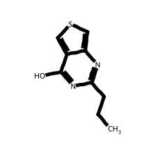 CCCc1nc(O)c2cscc2n1